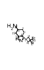 NC1CCc2c(nnp2C2CC(F)(F)C2)C1